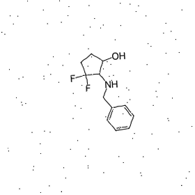 OC1CCC(F)(F)C1NCc1ccccc1